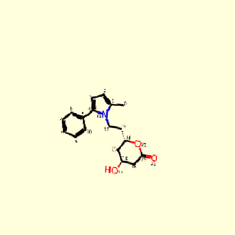 Cc1ccc(-c2ccccc2)n1CC[C@H]1C[C@H](O)CC(=O)O1